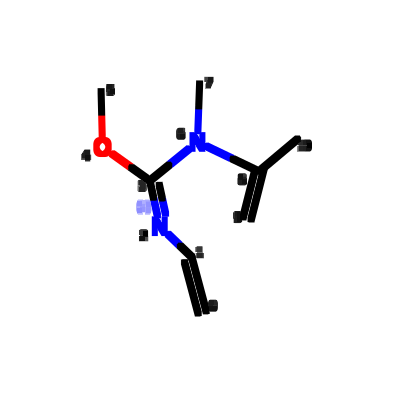 C=C/N=C(/OC)N(C)C(=C)C